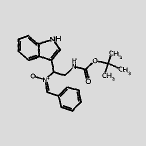 CC(C)(C)OC(=O)NCC(c1c[nH]c2ccccc12)/[N+]([O-])=C\c1ccccc1